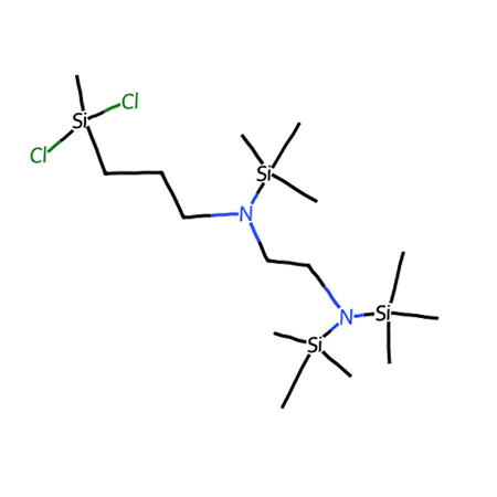 C[Si](Cl)(Cl)CCCN(CCN([Si](C)(C)C)[Si](C)(C)C)[Si](C)(C)C